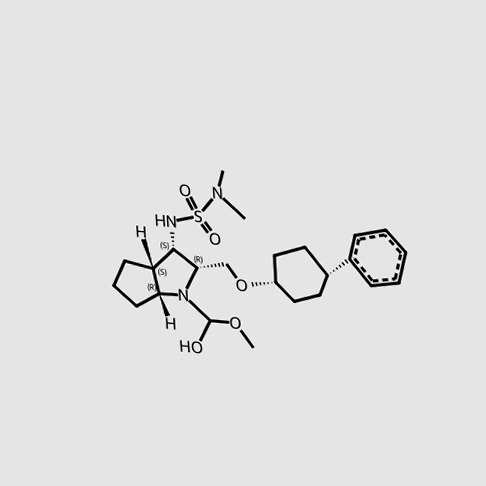 COC(O)N1[C@@H]2CCC[C@@H]2[C@H](NS(=O)(=O)N(C)C)[C@@H]1CO[C@H]1CC[C@@H](c2ccccc2)CC1